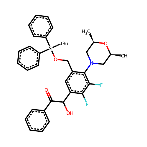 C[C@@H]1CN(c2c(CO[Si](c3ccccc3)(c3ccccc3)C(C)(C)C)cc(C(O)C(=O)c3ccccc3)c(F)c2F)C[C@H](C)O1